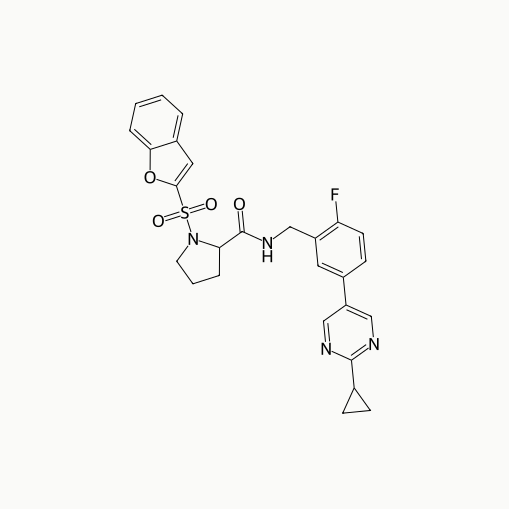 O=C(NCc1cc(-c2cnc(C3CC3)nc2)ccc1F)C1CCCN1S(=O)(=O)c1cc2ccccc2o1